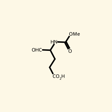 COC(=O)NC(C=O)CCC(=O)O